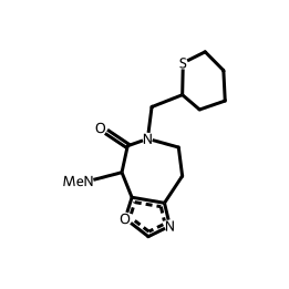 CNC1C(=O)N(CC2CCCCS2)CCc2ncoc21